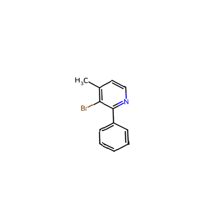 Cc1ccnc(-c2ccccc2)c1Br